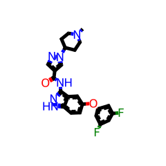 CN1CCC(n2cc(C(=O)Nc3n[nH]c4ccc(Oc5cc(F)cc(F)c5)cc34)cn2)CC1